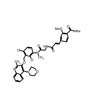 CNC(=O)c1ccc(/C=C/C(=O)NCC(=O)N(C)c2ccc(Cl)c(COc3c(C)nc4ccccc4c3N3CCOCC3)c2Cl)cc1OC